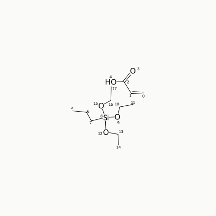 C=CC(=O)O.CCC[Si](OCC)(OCC)OCC